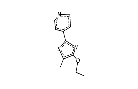 CCOc1nc(-c2ccncc2)sc1C